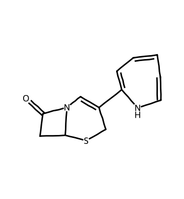 O=C1CC2SCC(C3=CC=CC=CN3)=CN12